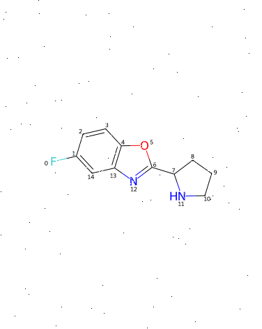 Fc1ccc2oc(C3CCCN3)nc2c1